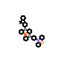 CC1(C)c2ccccc2-c2ccc(B3c4ccccc4P4(=O)c5ccccc5B(c5ccc(N6c7ccccc7Oc7ccccc76)cc5)c5cccc3c54)cc21